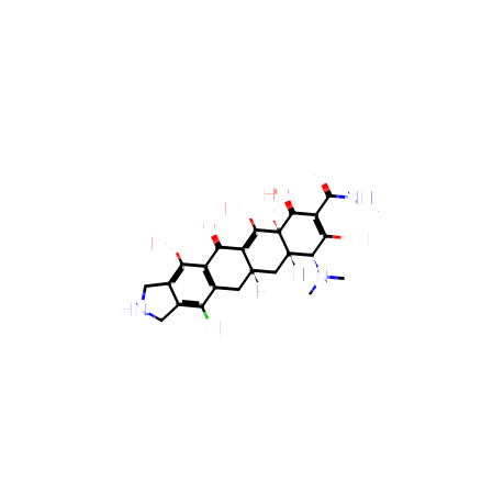 CN(C)[C@@H]1C(O)=C(C(N)=O)C(=O)[C@@]2(O)C(O)=C3C(=O)c4c(O)c5c(c(Cl)c4C[C@H]3C[C@@H]12)CNC5